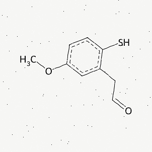 COc1ccc(S)c(CC=O)c1